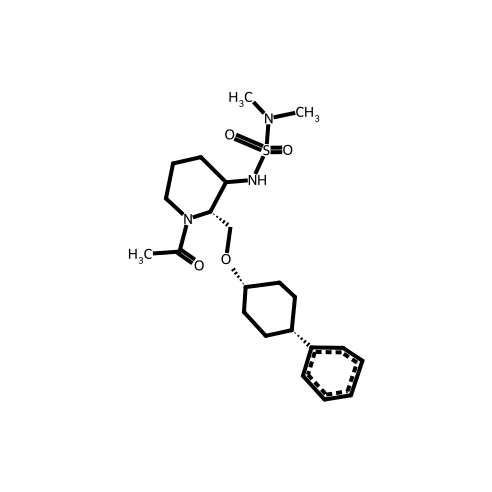 CC(=O)N1CCCC(NS(=O)(=O)N(C)C)[C@@H]1CO[C@H]1CC[C@@H](c2ccccc2)CC1